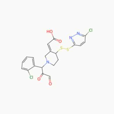 O=CC(=O)C(c1ccccc1Cl)N1CCC(SSc2ccc(Cl)nn2)/C(=C\C(=O)O)C1